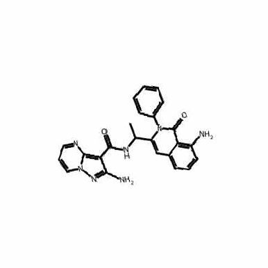 CC(NC(=O)c1c(N)nn2cccnc12)c1cc2cccc(N)c2c(=O)n1-c1ccccc1